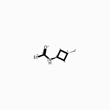 CCC(=O)N[C@H]1C[C@H](C)C1